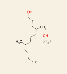 CC(C)CCCC(C)CCCC(C)CCCO.O=S(=O)(O)O